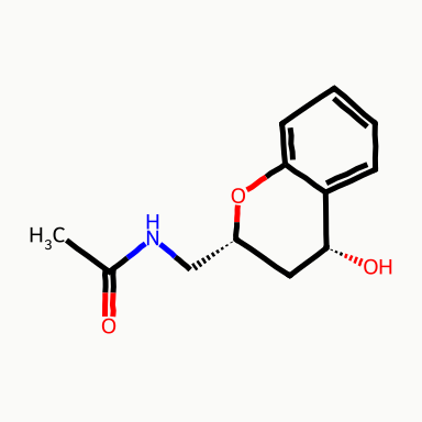 CC(=O)NC[C@H]1C[C@@H](O)c2ccccc2O1